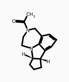 CC(=O)N1CCN2c3c(cccc3[C@@H]3CCC[C@@H]32)C1